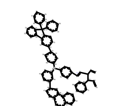 C=CC(/C=C/c1ccc(N(c2ccc(-c3ccc4c(c3)-c3ccccc3C4(c3ccccc3)c3ccccc3)cc2)c2cccc(-c3ccc4ccc5ccccc5c4c3)c2)cc1)C(C=C)c1ccccc1